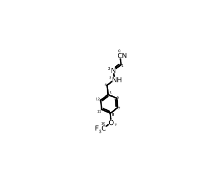 N#CC=NNCc1ccc(OC(F)(F)F)cc1